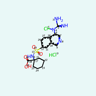 Cl.N=C(N)N(Cl)c1cncc2cc(S(=O)(=O)NC3(C(=O)O)CCCCC3)ccc12